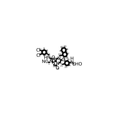 N#CCN(C(=O)NCc1ccc(Cl)c(Cl)c1)N1CC(=O)N2[C@@H](Cc3ccc(NC=O)cc3)C(=O)N(Cc3cccc4ccccc34)C[C@@H]21